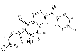 CN1CCN(C(=O)c2ccc3c(c2)C(C)(C)c2[nH]c4cc(C#N)ccc4c2C3=O)CC1